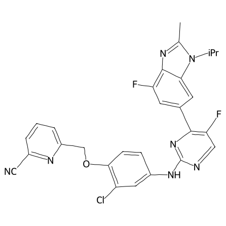 Cc1nc2c(F)cc(-c3nc(Nc4ccc(OCc5cccc(C#N)n5)c(Cl)c4)ncc3F)cc2n1C(C)C